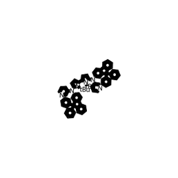 CC(C)(C)n1c(-c2ccc(N(c3cccnc3)c3ccc4c(c3)C(c3ccccc3)(c3ccccc3)c3ccccc3-4)n2C(C)(C)C)ccc1N(c1cccnc1)c1ccc2c(c1)C(c1ccccc1)(c1ccccc1)c1ccccc1-2